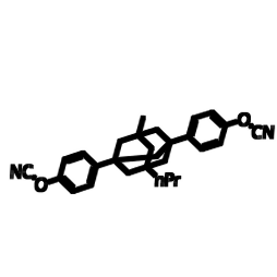 CCCC12CC3(C)CC(c4ccc(OC#N)cc4)(C1)CC(c1ccc(OC#N)cc1)(C3)C2